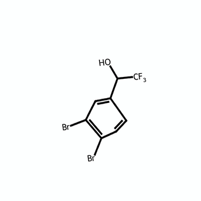 OC(c1ccc(Br)c(Br)c1)C(F)(F)F